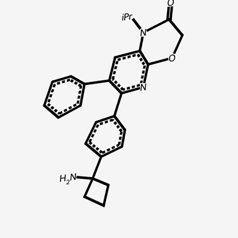 CC(C)N1C(=O)COc2nc(-c3ccc(C4(N)CCC4)cc3)c(-c3ccccc3)cc21